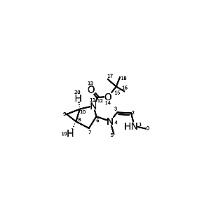 CN/C=C\N(C)C1C[C@H]2C[C@H]2N1C(=O)OC(C)(C)C